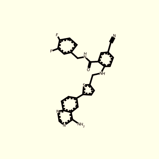 N#Cc1ccc(NCc2ccc(-c3ccc4ncnc(N)c4c3)s2)c(C(=O)NCc2ccc(F)c(F)c2)c1